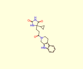 O=C1NC(=O)C(CCC(=O)N2CCc3c([nH]c4ccccc34)C2)(C2CC2)N1